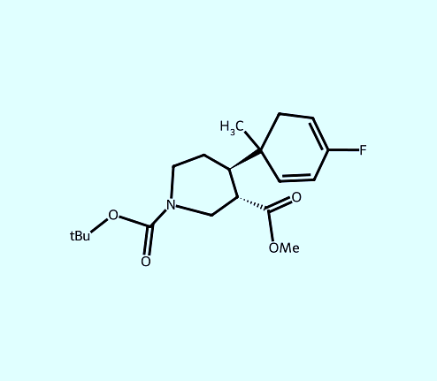 COC(=O)[C@@H]1CN(C(=O)OC(C)(C)C)CC[C@H]1C1(C)C=CC(F)=CC1